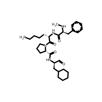 CN[C@@H](Cc1ccccc1)C(=O)N[C@@H](CCCCN)C(=O)N1CCC[C@H]1C(=O)N[C@@H]([C]=O)CC1CCCCC1